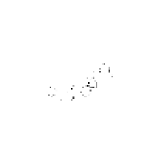 CN/C=C(\C(=N)NCc1cccnc1)c1cnc2ccc(Nc3cc(C(C)C)cnn3)nc2c1